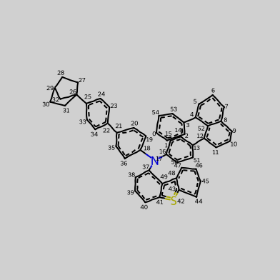 c1ccc(-c2cccc3cccc(-c4ccc(N(c5ccc(-c6ccc(C78CCC(CC7)C8)cc6)cc5)c5cccc6sc7ccccc7c56)cc4)c23)cc1